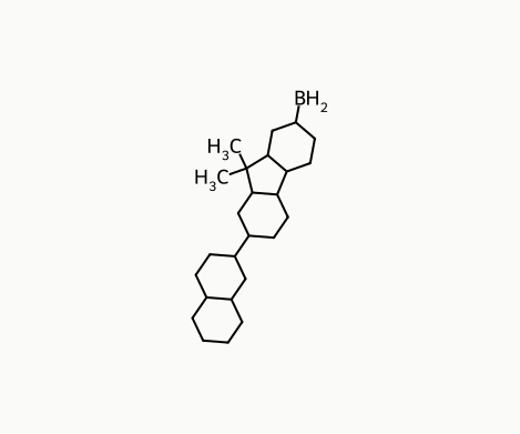 BC1CCC2C3CCC(C4CCC5CCCCC5C4)CC3C(C)(C)C2C1